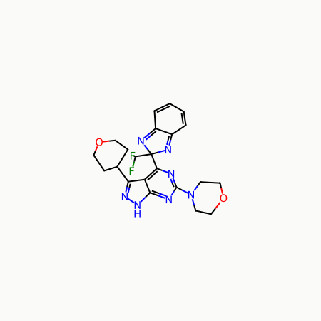 FC(F)C1(c2nc(N3CCOCC3)nc3[nH]nc(C4CCOCC4)c23)N=c2ccccc2=N1